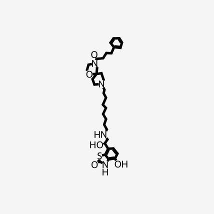 O=C(CCCc1ccccc1)N1CCOC2(CCN(CCCCCCCCCNC[C@H](O)c3ccc(O)c4[nH]c(=O)sc34)CC2)C1